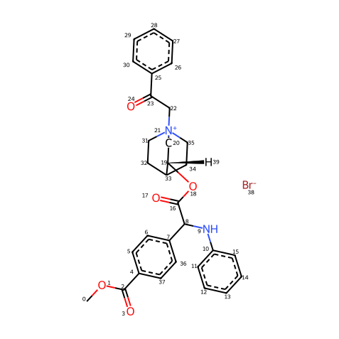 COC(=O)c1ccc(C(Nc2ccccc2)C(=O)O[C@H]2C[N+]3(CC(=O)c4ccccc4)CCC2CC3)cc1.[Br-]